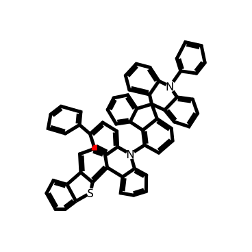 c1ccc(-c2ccc(N(c3ccccc3-c3cccc4c3sc3ccccc34)c3cccc4c3-c3ccccc3C43c4ccccc4N(c4ccccc4)c4ccccc43)cc2)cc1